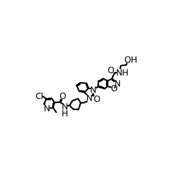 Cc1ncc(Cl)cc1C(=O)NC1CCC(Cn2c(=O)n(-c3ccc4c(C(=O)NCCO)noc4c3)c3ccccc32)CC1